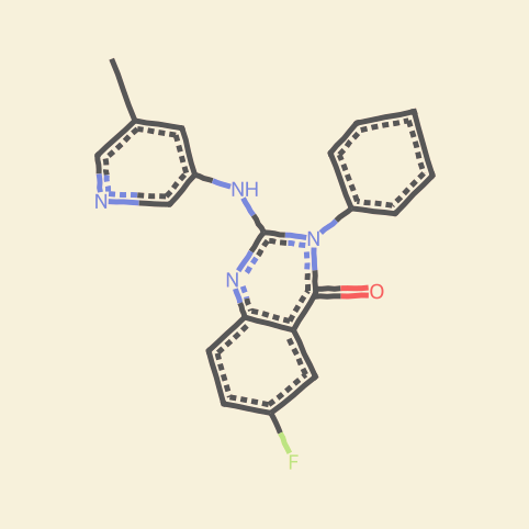 Cc1cncc(Nc2nc3ccc(F)cc3c(=O)n2-c2ccccc2)c1